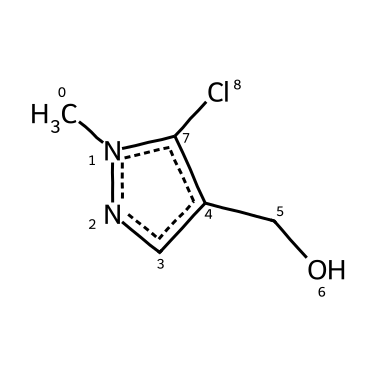 Cn1ncc(CO)c1Cl